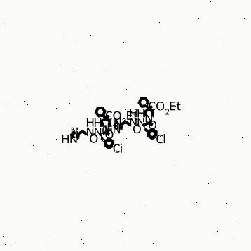 CCOC(=O)C1(C2CCCCC2)CCN(C(=O)[C@@H](Cc2ccc(Cl)cc2)NC(=O)NCCc2c[nH]cn2)CC1.CCOC(=O)C1(C2CCCCC2)CCN(C(=O)[C@H](Cc2ccc(Cl)cc2)NC(=O)NCCc2c[nH]cn2)CC1